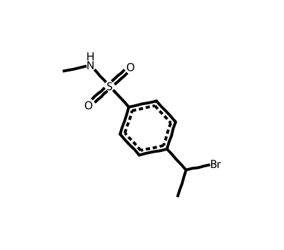 CNS(=O)(=O)c1ccc(C(C)Br)cc1